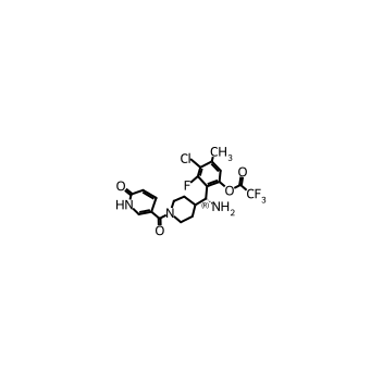 Cc1cc(OC(=O)C(F)(F)F)c([C@H](N)C2CCN(C(=O)c3ccc(=O)[nH]c3)CC2)c(F)c1Cl